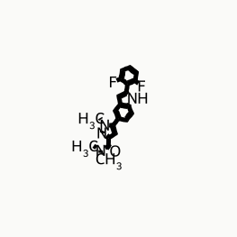 CN(C)C(=O)c1cc(-c2ccc3[nH]c(-c4c(F)cccc4F)cc3c2)n(C)n1